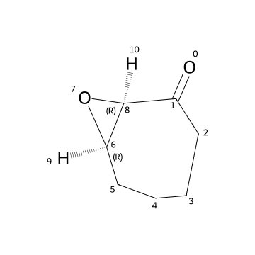 O=C1CCCC[C@H]2O[C@@H]12